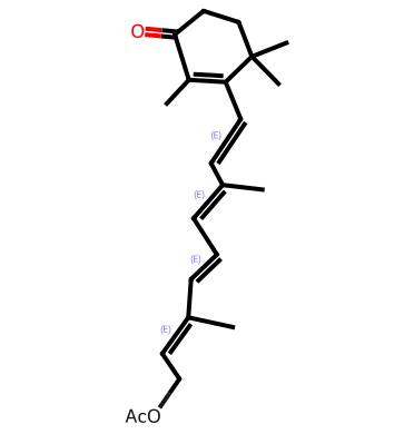 CC(=O)OC/C=C(C)/C=C/C=C(C)/C=C/C1=C(C)C(=O)CCC1(C)C